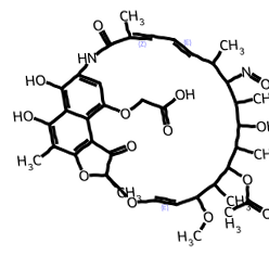 COC1/C=C/OC2(C)Oc3c(C)c(O)c4c(O)c(cc(OCC(=O)O)c4c3C2=O)NC(=O)/C(C)=C\C=C\C(C)C(N=O)C(C)C(O)C(C)C(OC(C)=O)C1C